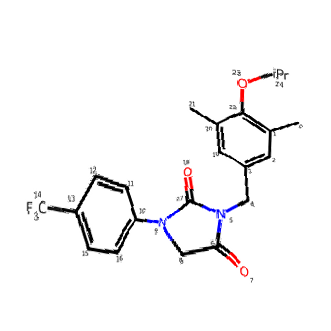 Cc1cc(CN2C(=O)CN(c3ccc(C(F)(F)F)cc3)C2=O)cc(C)c1OC(C)C